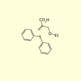 C=C(COCC)C(=O)O.c1ccc(Sc2ccccc2)cc1